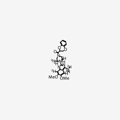 [2H]c1c(OC)c(OC)c([2H])c2c(N([2H])[2H])nc(N3C([2H])([2H])CN(C(=O)C4COc5ccccc5O4)CC3([2H])[2H])nc12